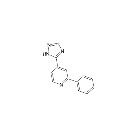 [c]1n[nH]c(-c2ccnc(-c3ccccc3)c2)n1